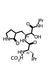 CC(C)C[C@H](NC(=O)O)C(=O)N[C@@H](CC1CCNC1=O)C(O)C(=O)NC(C)C